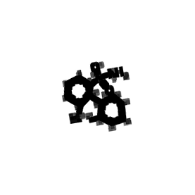 CCc1cccc(S(N)(=O)=O)c1-c1ccccc1C